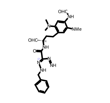 CNc1cc(CC[C@@H](C=O)NC(=O)/C(N=N)=N/NCc2ccccc2)c(N(C)C)cc1NC=O